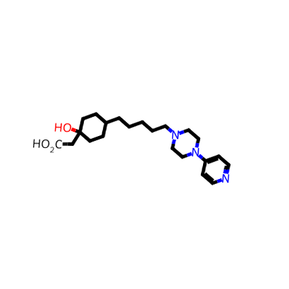 O=C(O)CC1(O)CCC(CCCCCN2CCN(c3ccncc3)CC2)CC1